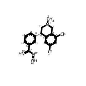 CN1Cc2c(Cl)cc(Cl)cc2[C@H](c2cccc(C(=N)N=N)c2)C1